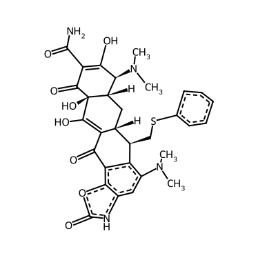 CN(C)c1cc2[nH]c(=O)oc2c2c1[C@H](CSc1ccccc1)[C@H]1C[C@H]3[C@H](N(C)C)C(O)=C(C(N)=O)C(=O)[C@@]3(O)C(O)=C1C2=O